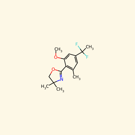 COc1cc(C(C)(F)F)cc(C)c1C1=NC(C)(C)CO1